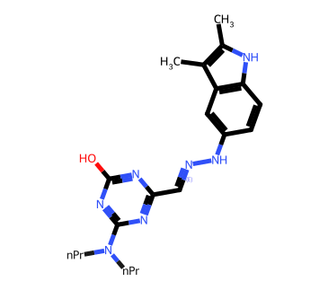 CCCN(CCC)c1nc(O)nc(/C=N/Nc2ccc3[nH]c(C)c(C)c3c2)n1